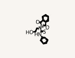 O=C1c2ccccc2C(=O)N1N(CCO)C(=S)Nc1ccccc1